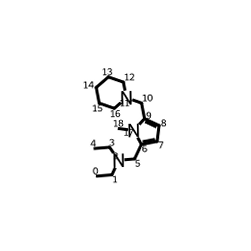 CCN(CC)Cc1ccc(CN2CCCCC2)n1C